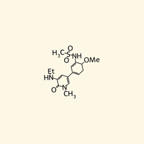 CCNc1cc(C2=CCC(OC)C(NS(C)(=O)=O)=C2)cn(C)c1=O